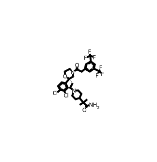 CC(C)(C(N)=O)C1CCN(CC[C@@]2(c3ccc(Cl)c(Cl)c3)CN(C(=O)Cc3cc(C(F)(F)F)cc(C(F)(F)F)c3)CCO2)CC1